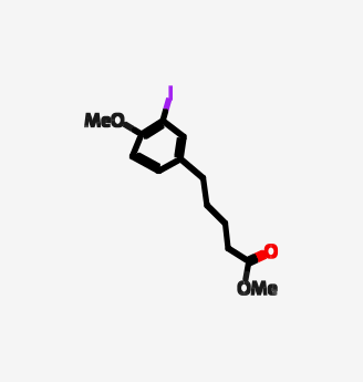 COC(=O)CCCCc1ccc(OC)c(I)c1